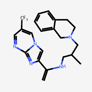 C=C(NCC(C)CN1CCc2ccccc2C1)c1cn2cc(C(F)(F)F)cnc2n1